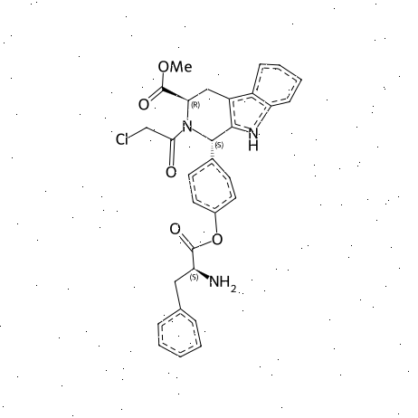 COC(=O)[C@H]1Cc2c([nH]c3ccccc23)[C@H](c2ccc(OC(=O)[C@@H](N)Cc3ccccc3)cc2)N1C(=O)CCl